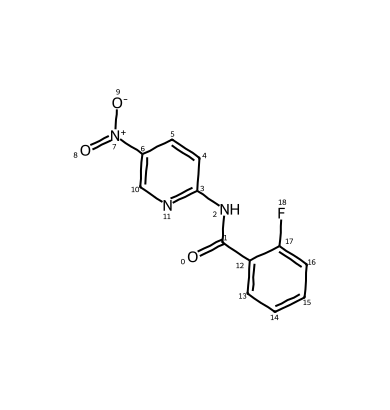 O=C(Nc1ccc([N+](=O)[O-])cn1)c1ccccc1F